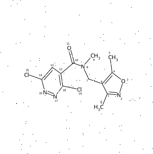 Cc1noc(C)c1CN(C)C(=O)c1cc(Cl)nnc1Cl